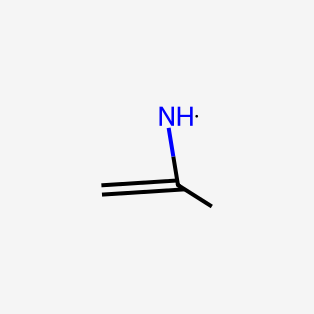 C=C(C)[NH]